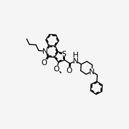 CCCCn1c(=O)c2c(OC)c(C(=O)NC3CCN(Cc4ccccc4)CC3)sc2c2ccccc21